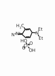 CCN(CC)C1C=CC(=[N+]=[N-])C(C)=C1.[O]=[Cr](=[O])([OH])[OH]